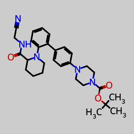 CC(C)(C)OC(=O)N1CCN(c2ccc(-c3ccccc3N3CCCCC3C(=O)NCC#N)cc2)CC1